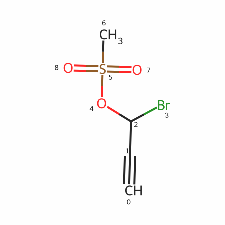 C#CC(Br)OS(C)(=O)=O